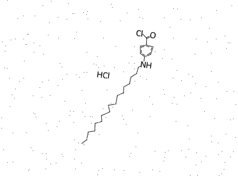 CCCCCCCCCCCCCCCCCNc1ccc(C(=O)Cl)cc1.Cl